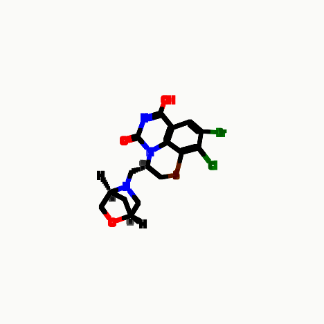 O=c1nc(O)c2cc(Br)c(Cl)c3c2n1[C@@H](CN1C[C@H]2C[C@H]1CO2)CS3